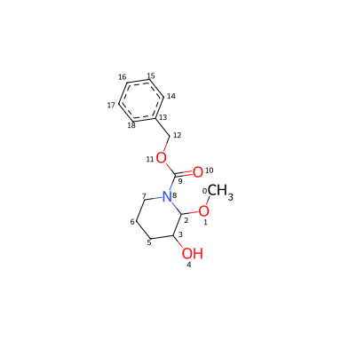 COC1C(O)CCCN1C(=O)OCc1ccccc1